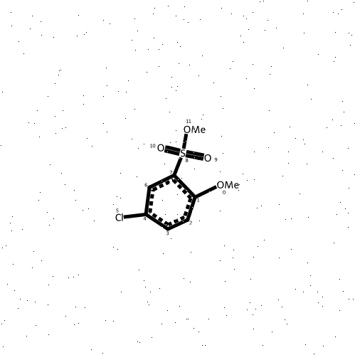 COc1ccc(Cl)cc1S(=O)(=O)OC